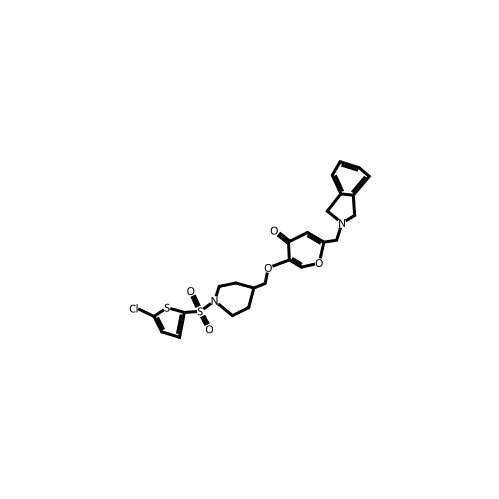 O=c1cc(CN2Cc3ccccc3C2)occ1OCC1CCN(S(=O)(=O)c2ccc(Cl)s2)CC1